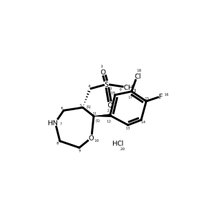 CS(=O)(=O)C[C@H]1CNCCO[C@@H]1c1ccc(F)c(Cl)c1.Cl